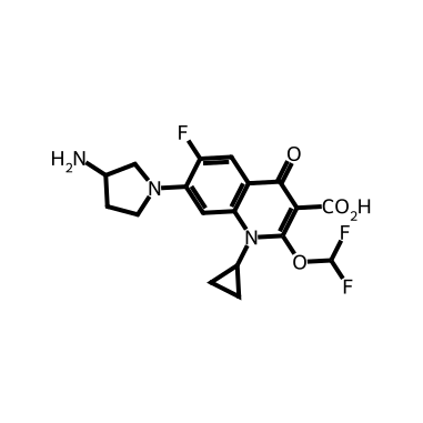 NC1CCN(c2cc3c(cc2F)c(=O)c(C(=O)O)c(OC(F)F)n3C2CC2)C1